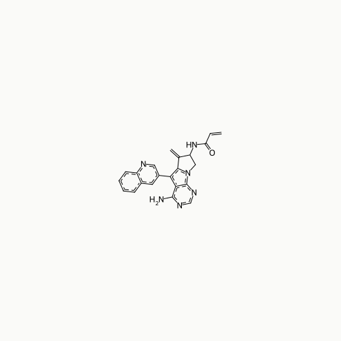 C=CC(=O)NC1Cn2c(c(-c3cnc4ccccc4c3)c3c(N)ncnc32)C1=C